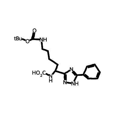 CC(C)(C)OC(=O)NCCCCC(NC(=O)O)c1n[nH]c(-c2ccccc2)n1